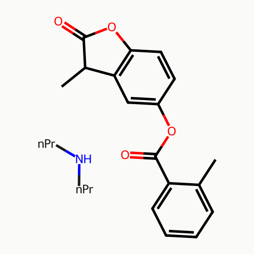 CCCNCCC.Cc1ccccc1C(=O)Oc1ccc2c(c1)C(C)C(=O)O2